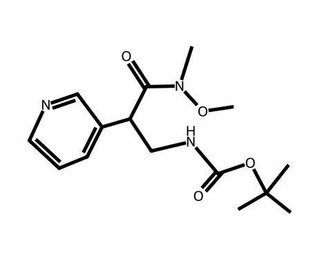 CON(C)C(=O)C(CNC(=O)OC(C)(C)C)c1cccnc1